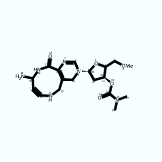 COCC1O[C@@H](N2C=NC3=C(CNC#CC(N)NC3=O)C2)C[C@@H]1OC(=O)N(C)C